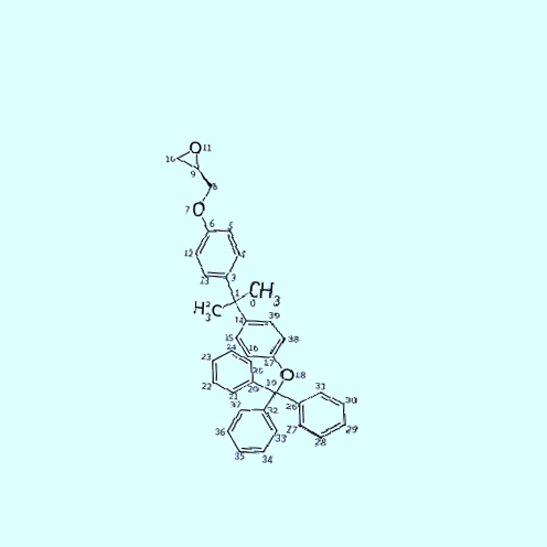 CC(C)(c1ccc(OC[C@H]2CO2)cc1)c1ccc(OC(c2ccccc2)(c2ccccc2)c2ccccc2)cc1